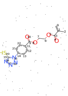 C=C(C)C(=O)OCCOC(=O)c1ccc(-n2nnnc2S)cc1